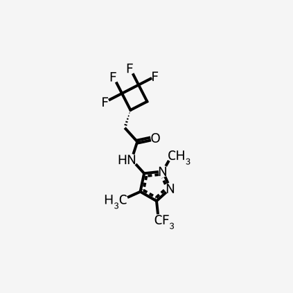 Cc1c(C(F)(F)F)nn(C)c1NC(=O)C[C@H]1CC(F)(F)C1(F)F